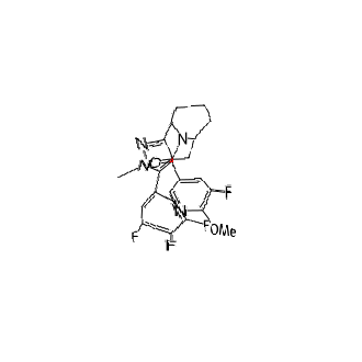 COc1ncc(C(=O)N2C3CCCC2c2nn(C)c(-c4cc(F)c(F)c(F)c4)c2C3)cc1F